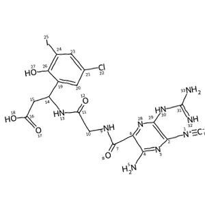 [C-]#[N+]c1nc(N)c(C(=O)NCC(=O)NC(CC(=O)O)c2cc(Cl)cc(I)c2O)nc1NC(=N)N